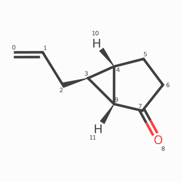 C=CC[C@H]1[C@@H]2CCC(=O)[C@H]12